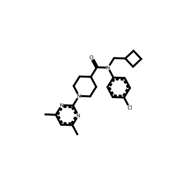 Cc1cc(C)nc(N2CCC(C(=O)N(CC3CCC3)c3ccc(Cl)cc3)CC2)n1